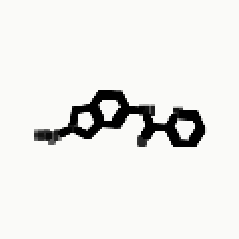 O=C(Nc1ccc2c(c1)CN(C(=O)O)C2)c1ccccn1